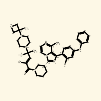 CC(C)(C=C(C#N)C(=O)N1CCC[C@@H](c2nc(-c3ccc(Oc4ccccc4)cc3F)c3c(N)nccn23)C1)N1CCN(C2(C)COC2)CC1